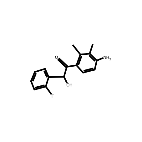 Cc1c(N)ccc(C(=O)C(O)c2ccccc2F)c1C